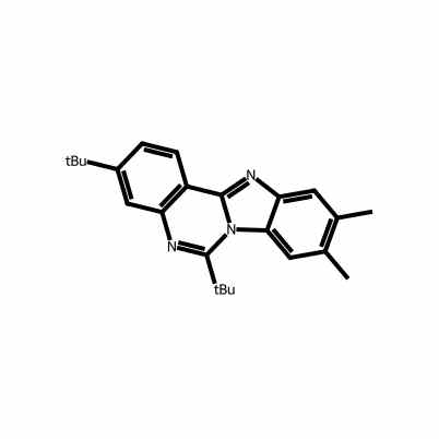 Cc1cc2nc3c4ccc(C(C)(C)C)cc4nc(C(C)(C)C)n3c2cc1C